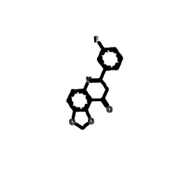 O=C1CC(c2cccc(F)c2)=Nc2ccc3c(c21)OCO3